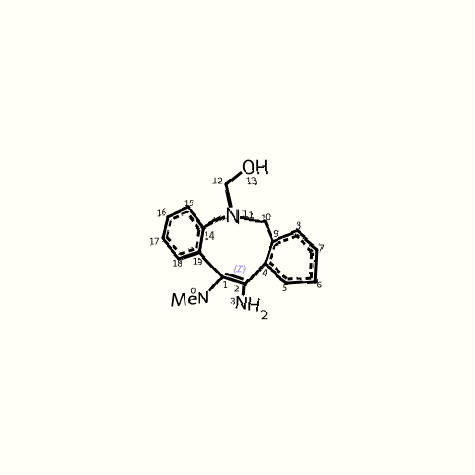 CN/C1=C(\N)c2ccccc2CN(CO)c2ccccc21